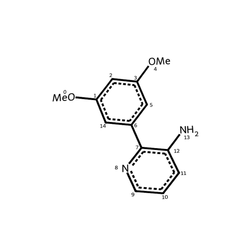 COc1cc(OC)cc(-c2ncccc2N)c1